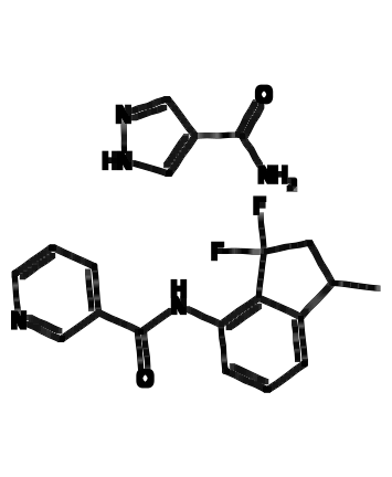 CC1CC(F)(F)c2c(NC(=O)c3cccnc3)cccc21.NC(=O)c1cn[nH]c1